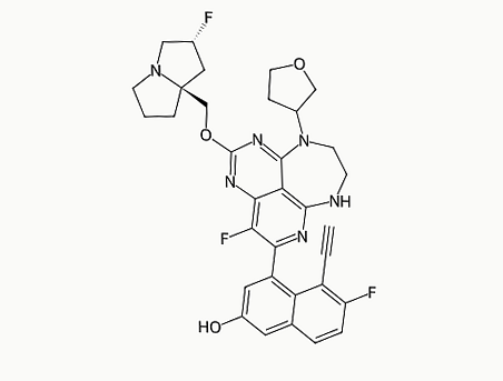 C#Cc1c(F)ccc2cc(O)cc(-c3nc4c5c(nc(OC[C@@]67CCCN6C[C@H](F)C7)nc5c3F)N(C3CCOC3)CCN4)c12